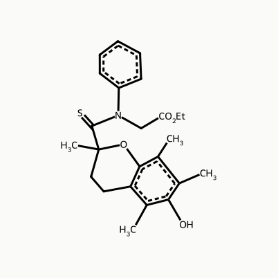 CCOC(=O)CN(C(=S)C1(C)CCc2c(C)c(O)c(C)c(C)c2O1)c1ccccc1